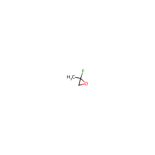 CC1(F)CO1